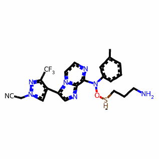 Cc1cccc(N(O[SH](C)CCCN)c2nccn3c(-c4cn(CC#N)nc4C(F)(F)F)cnc23)c1